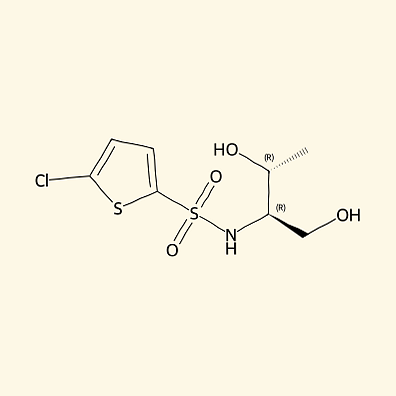 C[C@@H](O)[C@@H](CO)NS(=O)(=O)c1ccc(Cl)s1